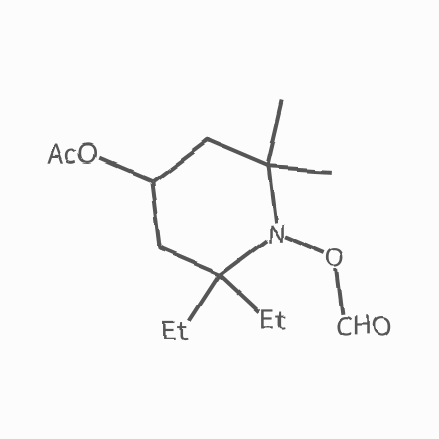 CCC1(CC)CC(OC(C)=O)CC(C)(C)N1OC=O